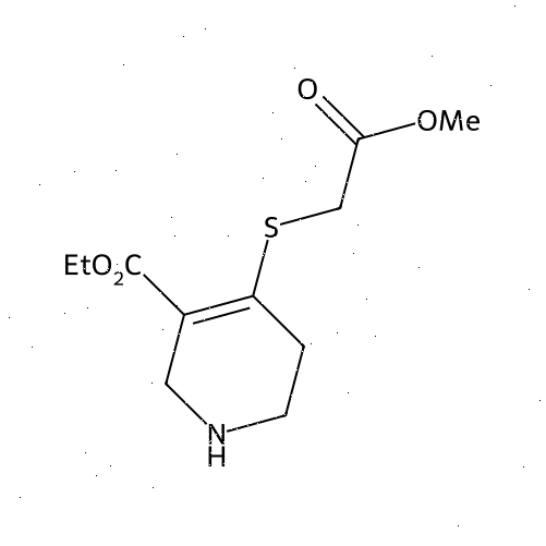 CCOC(=O)C1=C(SCC(=O)OC)CCNC1